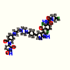 O=C1CCC(N2Cc3cc(N4CC(CN5CCN(c6ccc(-c7cnc8[nH]cc(C(=O)c9c(F)ccc(NS(=O)(=O)N%10CC[C@@H](F)C%10)c9F)c8c7)cc6)CC5)C4)ccc3C2=O)C(=O)N1